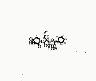 C=C=C[C@]1(F)[C@H](n2ccc(=O)[nH]c2=O)O[C@](F)(CO)[C@H]1OC(=O)c1ccccc1